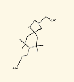 CC(=O)OCCN1C(C)(C)CC2(CC1(C)C)OCC(COC(C)=O)O2